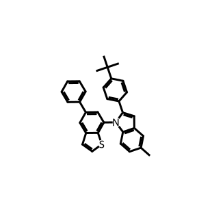 Cc1ccc2c(c1)cc(-c1ccc(C(C)(C)C)cc1)n2-c1cc(-c2ccccc2)cc2ccsc12